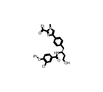 CCC(=O)c1nc(-c2ccc(C[C@@H](CCO)NC(=O)c3ccc(OC(C)C)c(Cl)c3)cc2)cn1C